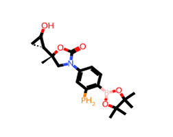 CC1(C)OB(c2ccc(N3C[C@](C)([C@@H]4CC4O)OC3=O)cc2P)OC1(C)C